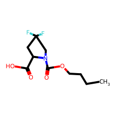 CCCCOC(=O)N1CC(F)(F)CC1C(=O)O